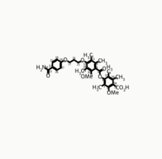 COc1c(C)c(OC(=O)c2c(C)c(C)c(OCCCOc3ccc(C(N)=O)cc3)c(C)c2OC)c(C)c(C)c1C(=O)O